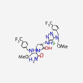 COCCN(Cc1ccc(C(F)(F)F)cc1)c1ncnc(NC[C@H]2CCN(C(C(N)=O)C(COC)NCc3ccc(C(F)(F)F)cc3)C[C@@H]2O)c1F